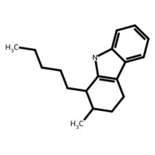 CCCCCC1C2=C(CCC1C)c1ccccc1[N]2